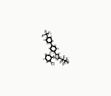 FC(F)(F)c1ccc(-c2ccc(C3CC(C(F)(F)C(F)(F)F)=NN3c3ccccc3Cl)cc2)cc1